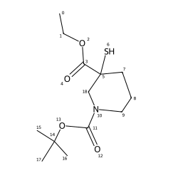 CCOC(=O)C1(S)CCCN(C(=O)OC(C)(C)C)C1